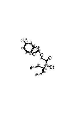 CCN(C(=O)COc1nc2cc(Cl)ccc2o1)C(=CC(C)C)CC(C)C